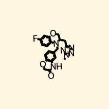 Cn1nnc(CC2COc3cc(F)ccc3N2Cc2ccc3c(c2)NC(=O)CO3)n1